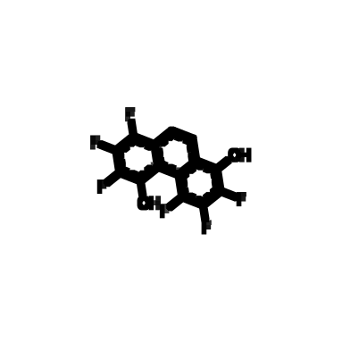 Oc1c(F)c(F)c(F)c2c1ccc1c(F)c(F)c(F)c(O)c12